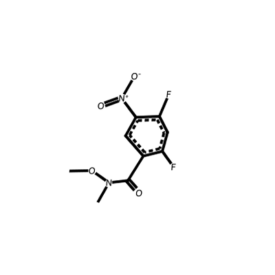 CON(C)C(=O)c1cc([N+](=O)[O-])c(F)cc1F